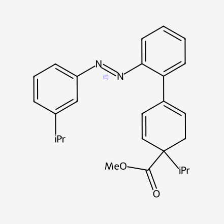 COC(=O)C1(C(C)C)C=CC(c2ccccc2/N=N/c2cccc(C(C)C)c2)=CC1